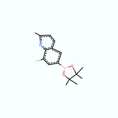 Cc1ccc2cc(B3OC(C)(C)C(C)(C)O3)cc(F)c2n1